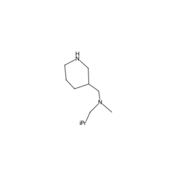 CC(C)CN(C)CC1CCCNC1